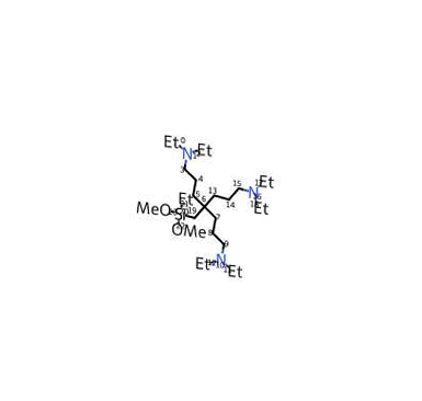 CCN(CC)CCCC(CCCN(CC)CC)(CCCN(CC)CC)C[Si](CC)(OC)OC